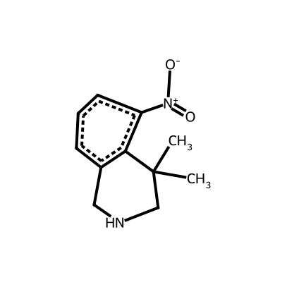 CC1(C)CNCc2cccc([N+](=O)[O-])c21